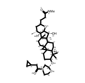 CNC(=O)CCC1C[C@@H](C)[C@H]2C(O1)[C@H](O)[C@@]1(C)C3CC[C@H]4C(C)(C)C(O[C@H]5CN(C(=O)CC6CC6)CCO5)CCC45CC35CCC21C